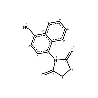 N#Cc1ccc(N2C(=O)CCC2=O)c2ccccc12